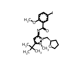 COc1ccc(I)cc1C(=O)/N=c1/cc(C(C)(C)C)n(C)n1C[C@H]1CCCO1